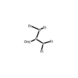 CCN(CC)N(C=O)N(CC)CC